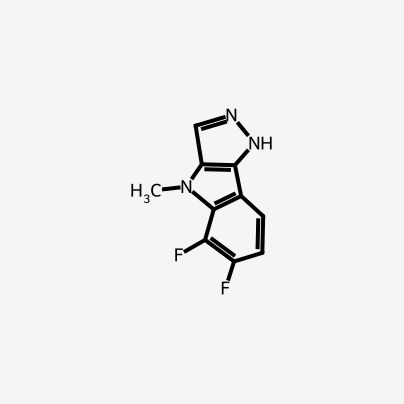 Cn1c2cn[nH]c2c2ccc(F)c(F)c21